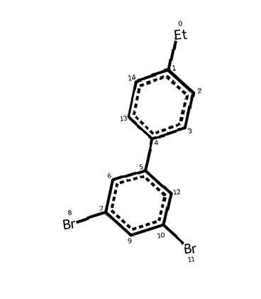 CCc1ccc(-c2cc(Br)cc(Br)c2)cc1